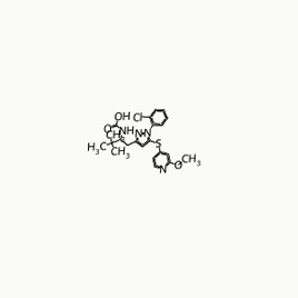 COc1cc(Sc2cc(CC(NC(=O)O)C(C)(C)C)nn2-c2ccccc2Cl)ccn1